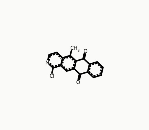 Cc1c2c(cc3c(Cl)nccc13)C(=O)c1ccccc1C2=O